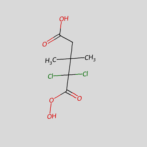 CC(C)(CC(=O)O)C(Cl)(Cl)C(=O)OO